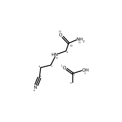 CC(=O)O.N#CCCNCC(N)=O